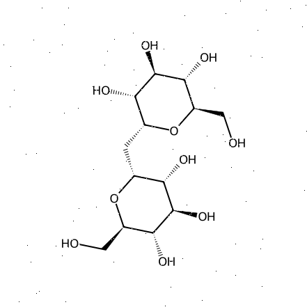 OC[C@H]1O[C@H](C[C@H]2O[C@H](CO)[C@@H](O)[C@H](O)[C@H]2O)[C@H](O)[C@@H](O)[C@@H]1O